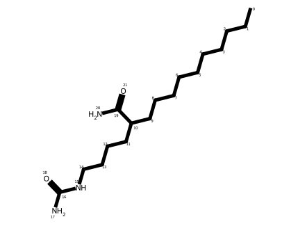 CCCCCCCCCCC(CCCCNC(N)=O)C(N)=O